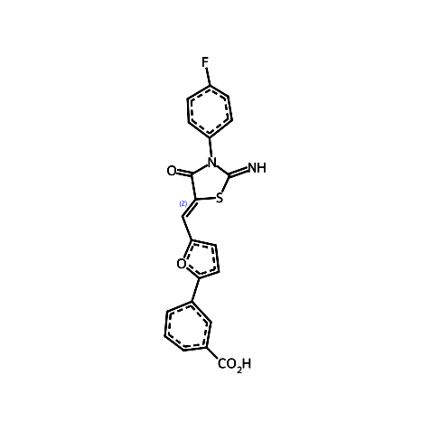 N=C1S/C(=C\c2ccc(-c3cccc(C(=O)O)c3)o2)C(=O)N1c1ccc(F)cc1